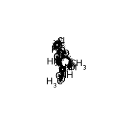 COC(=O)Nc1ccc2c(c1)NC(=O)[C@H](C)CCCC(N1CC[C@H](c3c(F)ccc(Cl)c3F)OC1=O)c1cc-2c[nH]c1=O